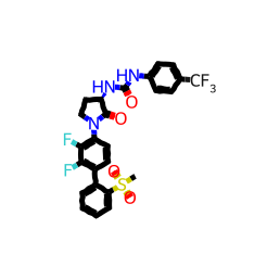 CS(=O)(=O)c1ccccc1-c1ccc(N2CC[C@@H](NC(=O)Nc3ccc(C(F)(F)F)cc3)C2=O)c(F)c1F